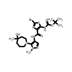 Cn1ncc(NC(=O)c2nc(Br)sc2NC(=O)OC(C)(C)C)c1N1CCCC(C)(O)CC1